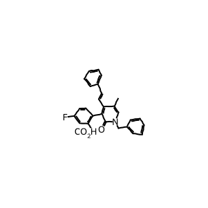 Cc1cn(Cc2ccccc2)c(=O)c(-c2ccc(F)cc2C(=O)O)c1C=Cc1ccccc1